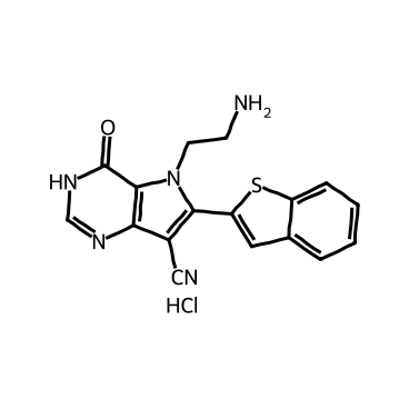 Cl.N#Cc1c(-c2cc3ccccc3s2)n(CCN)c2c(=O)[nH]cnc12